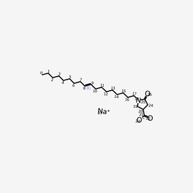 CCCCCCCC/C=C/CCCCCCCCN1CC(C(=O)[O-])CC1=O.[Na+]